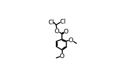 COc1ccc(C(=O)OC(Cl)Cl)c(OC)c1